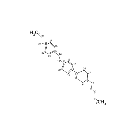 CCCCCC1CCC(c2ccc(CCc3ccc(CCC)cc3)cc2)CC1